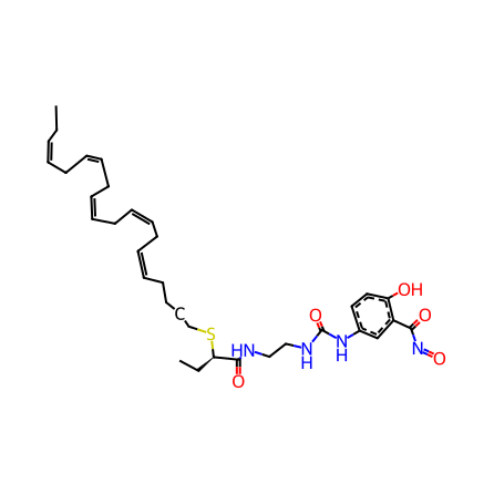 CC/C=C\C/C=C\C/C=C\C/C=C\C/C=C\CCCCS[C@H](CC)C(=O)NCCNC(=O)Nc1ccc(O)c(C(=O)N=O)c1